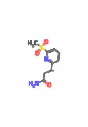 CS(=O)(=O)c1cccc([CH]CC(N)=O)n1